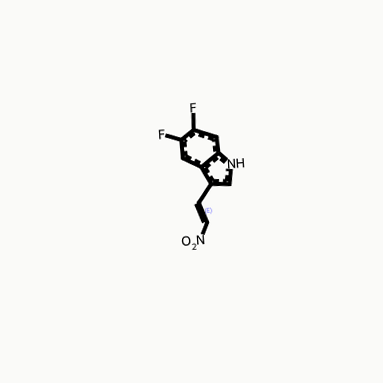 O=[N+]([O-])/C=C/c1c[nH]c2cc(F)c(F)cc12